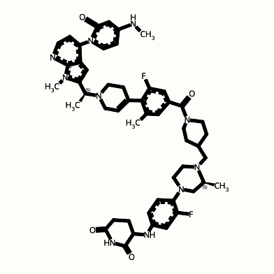 CNc1ccn(-c2ccnc3c2cc([C@H](C)N2CC=C(c4c(C)cc(C(=O)N5CCC(CN6CCN(c7ccc(NC8CCC(=O)NC8=O)cc7F)C[C@@H]6C)CC5)cc4F)CC2)n3C)c(=O)c1